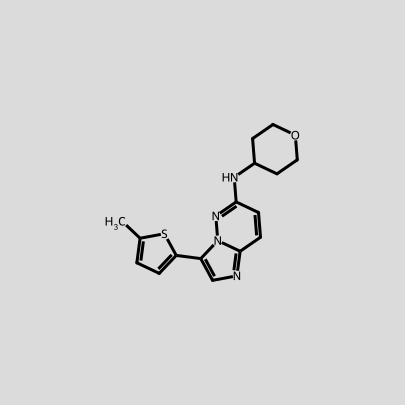 Cc1ccc(-c2cnc3ccc(NC4CCOCC4)nn23)s1